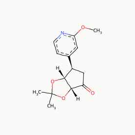 COc1cc([C@H]2CC(=O)[C@@H]3OC(C)(C)O[C@H]23)ccn1